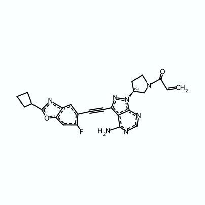 C=CC(=O)N1CC[C@H](n2nc(C#Cc3cc4nc(C5CCC5)oc4cc3F)c3c(N)ncnc32)C1